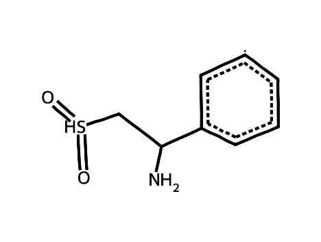 NC(C[SH](=O)=O)c1c[c]ccc1